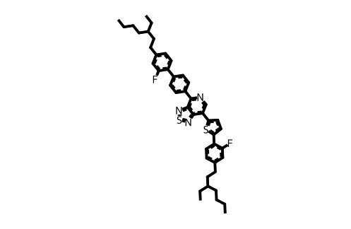 CCCCC(CC)CCc1ccc(-c2ccc(-c3ncc(-c4ccc(-c5ccc(CCC(CC)CCCC)cc5F)s4)c4nsnc34)cc2)c(F)c1